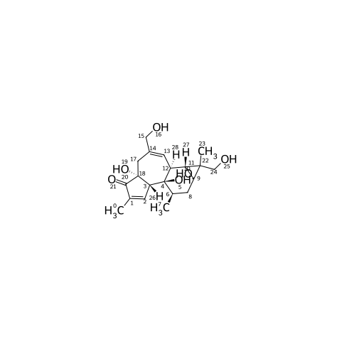 CC1=C[C@H]2[C@@]3(O)[C@H](C)C[C@]4(O)[C@H]([C@@H]3C=C(CO)C[C@]2(O)C1=O)C4(C)CO